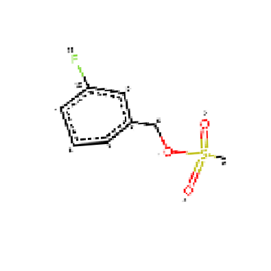 CS(=O)(=O)OCc1cccc(F)c1